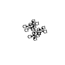 Cl[Si](Cl)(Cl)O[Si](Cl)(Cl)Cl.Cl[Si](Cl)(Cl)O[Si](Cl)(Cl)O[Si](Cl)(Cl)Cl